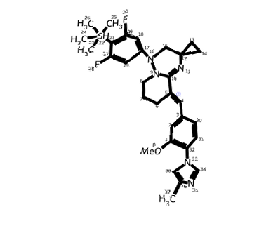 COc1cc(/C=C2\CCCN3C2=NC2(CC2)CN3c2cc(F)c([SH](C)(C)(C)C)c(F)c2)ccc1-n1cnc(C)c1